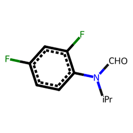 CC(C)N(C=O)c1ccc(F)cc1F